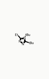 CCc1nnc(C(C)(C)C)n1C(C)(C)C